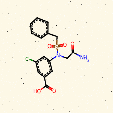 NC(=O)CN(c1cc(Cl)cc(C(=O)O)c1)S(=O)(=O)Cc1ccccc1